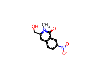 Cn1c(CO)cc2ccc([N+](=O)[O-])cc2c1=O